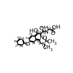 CC(=O)N(C)Cc1nc(C(=O)NCC(=O)O)c(O)c2ccc(Oc3ccccc3)cc12